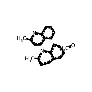 C=O.Cc1ccc2ccccc2n1.Cc1ccc2ccccc2n1